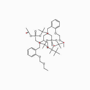 CCOCOc1ccccc1CN(CC(CO[Si](C)(C)C(C)(C)C)N(Cc1ccccc1OCOCC)CP(=O)(OC(C)(C)C)OC(C)(C)C)CP(=O)(OC(C)(C)C)OC(C)(C)C